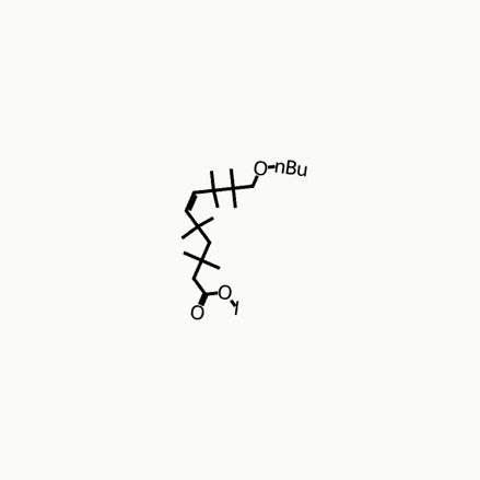 CCCCOCC(C)(C)C(C)(C)/C=C\C(C)(C)CC(C)(C)CC(=O)OI